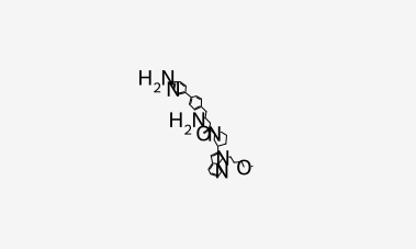 COCCCn1c(C2CCCN(C(=O)C[C@H](N)Cc3ccc(-c4ccc(N)nc4)cc3)C2)cc2cccnc21